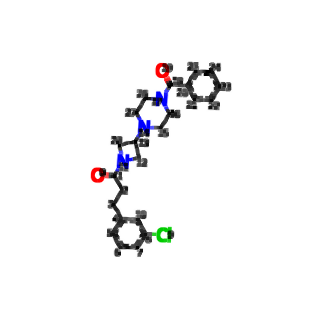 O=C(CCc1cccc(Cl)c1)N1CC(N2CCN(C(=O)c3ccccc3)CC2)C1